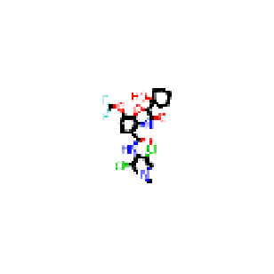 C=N/C=C(Cl)\C(NC(=O)c1ccc(OC(F)F)c2c1NC(=O)C(C1(O)CCCCC1)O2)=C(/C)Cl